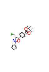 CC1(C)OB(c2ccc([C@H]3OC(c4ccccc4)=N[C@@H]3CF)cc2)OC1(C)C